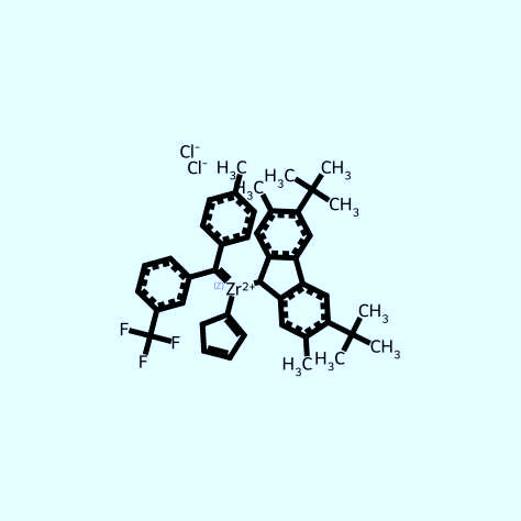 Cc1ccc(/[C](c2cccc(C(F)(F)F)c2)=[Zr+2](/[C]2=CC=CC2)[CH]2c3cc(C)c(C(C)(C)C)cc3-c3cc(C(C)(C)C)c(C)cc32)cc1.[Cl-].[Cl-]